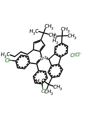 CCCCC1C=C(C(C)(C)C)C=[C]1[Zr+2](=[C](c1ccc(Cl)cc1)c1ccc(Cl)cc1)[CH]1c2cc(C(C)(C)C)ccc2-c2ccc(C(C)(C)C)cc21.[Cl-].[Cl-]